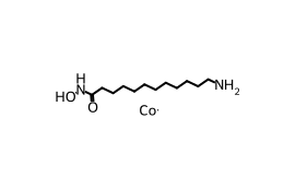 NCCCCCCCCCCCC(=O)NO.[Co]